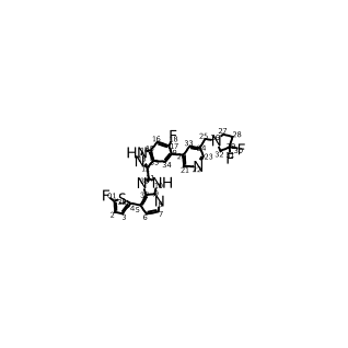 Fc1ccc(-c2ccnc3[nH]c(-c4n[nH]c5cc(F)c(-c6cncc(CN7CCC(F)(F)C7)c6)cc45)nc23)s1